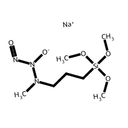 CO[Si](CCCN(C)N([O-])N=O)(OC)OC.[Na+]